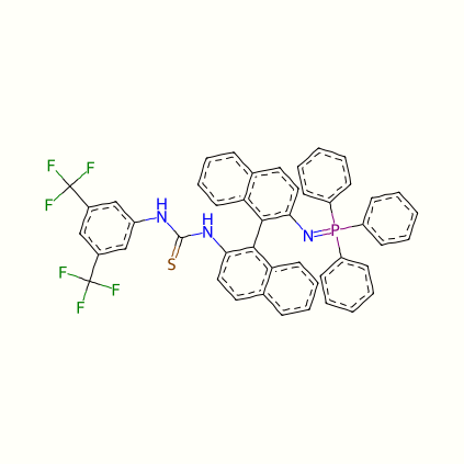 FC(F)(F)c1cc(NC(=S)Nc2ccc3ccccc3c2-c2c(N=P(c3ccccc3)(c3ccccc3)c3ccccc3)ccc3ccccc23)cc(C(F)(F)F)c1